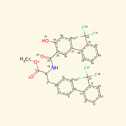 COC(=O)C(Cc1ccc(-c2ccccc2C(F)(F)F)cc1)NC(=O)c1cc(-c2ccccc2C(F)(F)F)ccc1O